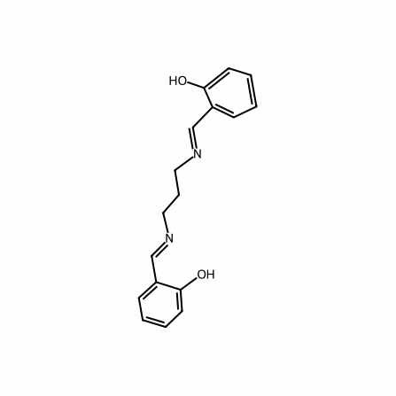 Oc1ccccc1/C=N/CCC/N=C/c1ccccc1O